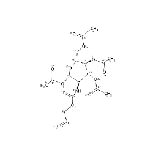 C=CCOC(=O)N[C@H]1[C@H](OC(C)=O)O[C@H](COC(C)=O)[C@@H](OC(C)=O)[C@@H]1OC(C)=O